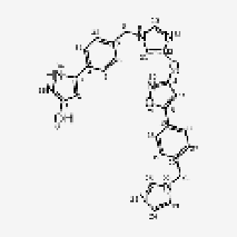 Oc1cc(-c2ccc(Cn3cnc(Oc4cc(-c5ccc(Cn6ccnc6)cc5)on4)c3)cc2)[nH]n1